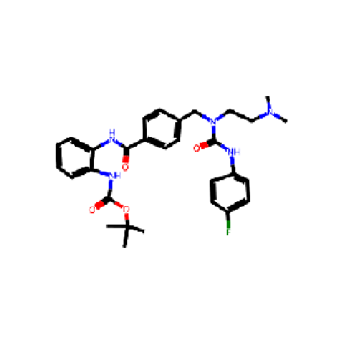 CN(C)CCN(Cc1ccc(C(=O)Nc2ccccc2NC(=O)OC(C)(C)C)cc1)C(=O)Nc1ccc(F)cc1